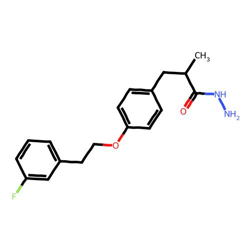 CC(Cc1ccc(OCCc2cccc(F)c2)cc1)C(=O)NN